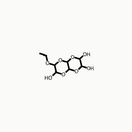 CCOC1OC2OC(O)C(O)OC2OC1O